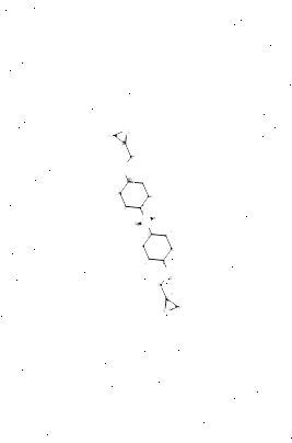 O=S(=O)(C1CCC(OCC2CS2)CC1)C1CCC(OCC2CS2)CC1